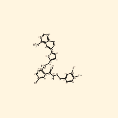 Nc1ncnc2ccc(-c3ccc(CNc4ncc(I)cc4C(=O)NCCc4ccc(F)c(F)c4)s3)cc12